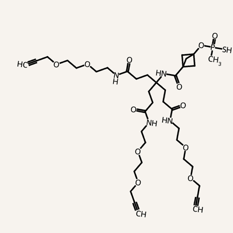 C#CCOCCOCCNC(=O)CCC(CCC(=O)NCCOCCOCC#C)(CCC(=O)NCCOCCOCC#C)NC(=O)C12CC(OP(C)(=O)S)(C1)C2